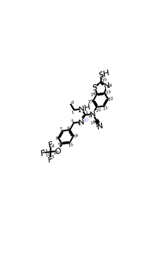 CCN/C(=N\Cc1ccc(OC(F)(F)F)cc1)N(C#N)c1ccc2nc(S)sc2c1